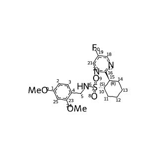 COc1ccc(CNS(=O)(=O)[C@H]2CCCC[C@@H]2c2ncc(F)cn2)c(OC)c1